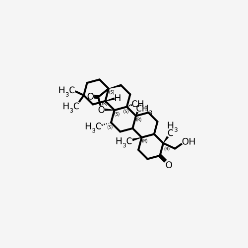 C[C@H]1CC2[C@@]3(C)CCC(=O)[C@@](C)(CO)C3CC[C@@]2(C)[C@]2(C)CC[C@@]34CCC(C)(C)C[C@H]3[C@@]12OC4=O